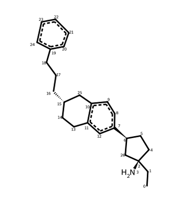 CC[C@@]1(N)CC[C@H](c2ccc3c(c2)CC[C@H](CCCc2ccccc2)C3)C1